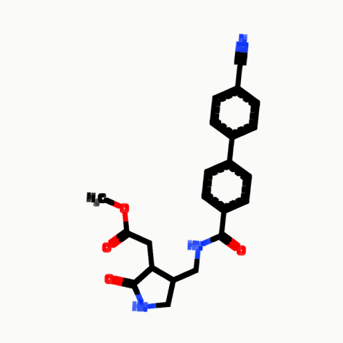 COC(=O)CC1C(=O)NCC1CNC(=O)c1ccc(-c2ccc(C#N)cc2)cc1